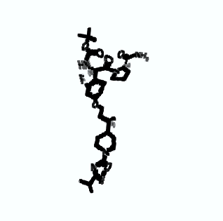 CC(C)c1noc(N2CCC([C@H](C)CCOc3ccc([C@H](NC(=O)OC(C)(C)C)C(=O)N4CCC[C@H]4C(N)=O)c(F)c3)CC2)n1